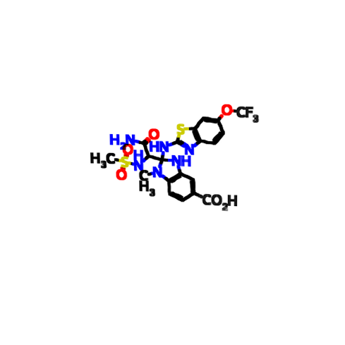 CN1c2ccc(C(=O)O)cc2NC1(Nc1nc2ccc(OC(F)(F)F)cc2s1)C(NS(C)(=O)=O)C(N)=O